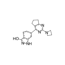 Oc1n[nH]c2cc(-c3nc(N4CCC4)nc4c3CCC4)ccc12